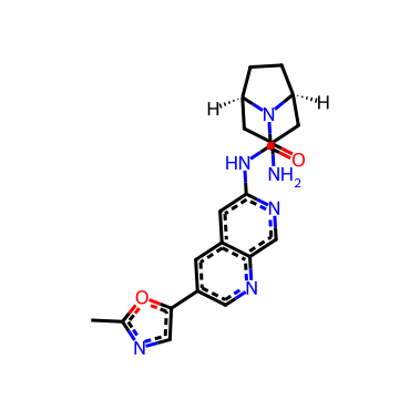 Cc1ncc(-c2cnc3cnc(NC(=O)N4[C@@H]5CC[C@H]4CC(N)C5)cc3c2)o1